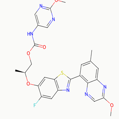 COc1cnc2c(-c3nc4cc(F)c(O[C@@H](C)COC(=O)Nc5cnc(OC)nc5)cc4s3)cc(C)cc2n1